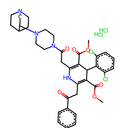 COC(=O)C1=C(CC(=O)c2ccccc2)NC(CC(=O)N2CCN(C3CN4CCC3CC4)CC2)=C(C(=O)OC)C1c1c(Cl)cccc1Cl.Cl.Cl